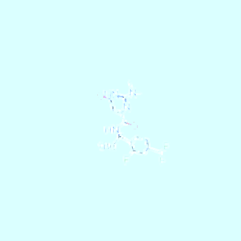 CN(C)c1nc(C(=O)N[C@@H](c2ccc(C(F)F)cc2F)C(C)(C)C)cc(=O)[nH]1